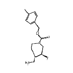 Cc1ccc(COC(=O)N2CC[C@H](CN)[C@H](F)C2)cc1